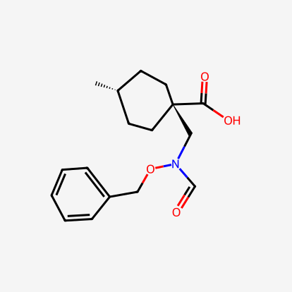 C[C@H]1CC[C@@](CN(C=O)OCc2ccccc2)(C(=O)O)CC1